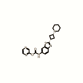 O=C(Nc1ccc2nc([C@H]3C[C@@H](N4CCCCC4)C3)sc2c1)Oc1cnccn1